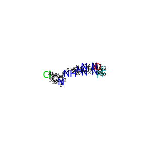 Cn1cc(CNCC2C3CN(c4ncc(-c5noc(C(F)(F)F)n5)cn4)CC23)c2cc(Cl)ccc21